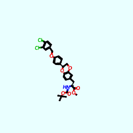 COC(=O)[C@H](Cc1ccc2c(c1)OC[C@H](c1ccc(OCc3ccc(Cl)c(Cl)c3)cc1)O2)NC(=O)OC(C)(C)C